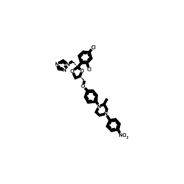 CC1CN(c2ccc([N+](=O)[O-])cc2)CCN1c1ccc(OC[C@@H]2CO[C@@](Cn3cncn3)(c3ccc(Cl)cc3Cl)O2)cc1